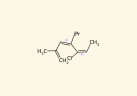 C=C(C)/C=C(\C(Cl)=C/C)C(C)C